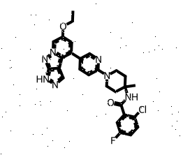 CCOc1cc(-c2ccc(N3CCC(C)(NC(=O)c4cc(F)ccc4Cl)CC3)nc2)c2c3cn[nH]c3nn2c1